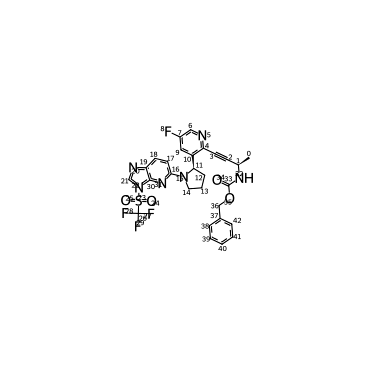 C[C@H](C#Cc1ncc(F)cc1[C@H]1CCCN1c1ccc2ncn(S(=O)(=O)C(F)(F)F)c2n1)NC(=O)OCc1ccccc1